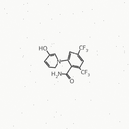 NC(=O)c1c(N2C=C(O)C=CC2)cc(C(F)(F)F)cc1C(F)(F)F